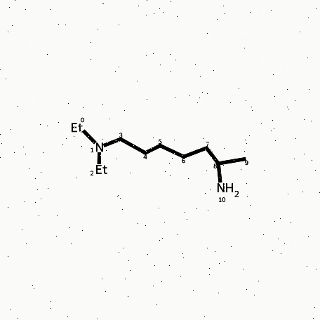 CCN(CC)CCCCCC(C)N